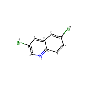 Brc1ccc2ncc(Br)cc2c1